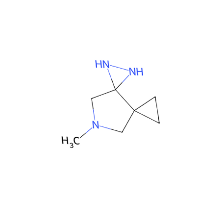 CN1CC2(CC2)C2(C1)NN2